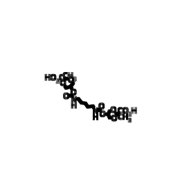 CC1(C(=O)O)OCC(OC(=O)NCCCCCNC(=O)OC2COC(C)(C(=O)O)OC2)CO1